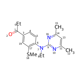 CCC(=O)c1ccc(N(CC)c2nc(C)cc(C)n2)c(SC)c1